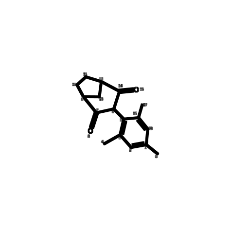 Cc1cc(C)c(C2C(=O)C3CCC(C3)C2=O)c(C)c1